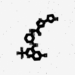 O=C(N[C@@H]1CCC[C@H](Nc2cc(C(F)(F)F)nc3ccc(Cl)cc23)C1)c1cnn(C2CCNC2)c1